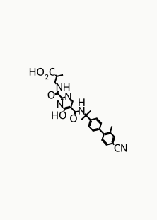 Cc1cc(C#N)ccc1-c1ccc(C(C)(C)NC(=O)c2cnc(C(=O)NCC(C)C(=O)O)nc2O)cc1